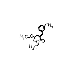 CCOC(=O)C/C(=C\c1cccc(C)c1)C(=O)OCC